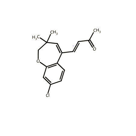 CC(=O)/C=C/C1=CC(C)(C)COc2cc(Cl)ccc21